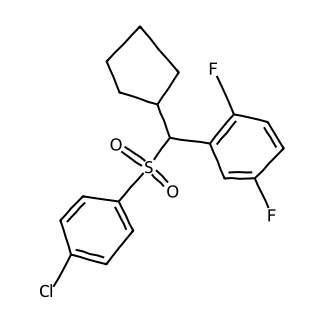 O=S(=O)(c1ccc(Cl)cc1)C(c1cc(F)ccc1F)C1CCCC1